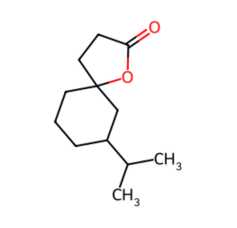 CC(C)C1CCCC2(CCC(=O)O2)C1